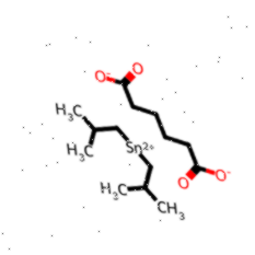 CC(C)[CH2][Sn+2][CH2]C(C)C.O=C([O-])CCCCC(=O)[O-]